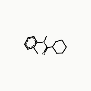 [CH2]c1ccccc1N(C)C(=O)C1CCCCC1